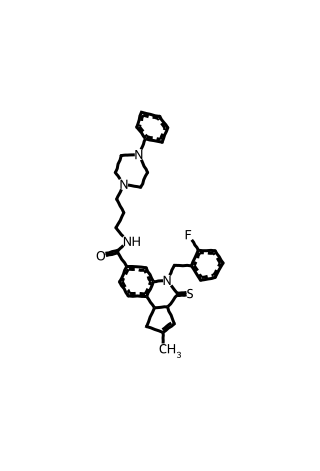 CC1=CC2C(=S)N(Cc3ccccc3F)c3cc(C(=O)NCCCN4CCN(c5ccccc5)CC4)ccc3C2C1